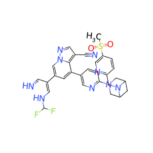 CS(=O)(=O)c1ccc(CN2C3CC2CN(c2ccc(-c4cc(/C(C=N)=C/NC(F)F)cn5ncc(C#N)c45)cn2)C3)nc1